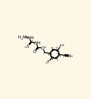 N#Cc1cc(F)c(COC(=O)NC(=S)NN)cc1F